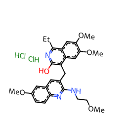 CCc1nc(O)c(Cc2cc3cc(OC)ccc3nc2NCCOC)c2cc(OC)c(OC)cc12.Cl.Cl